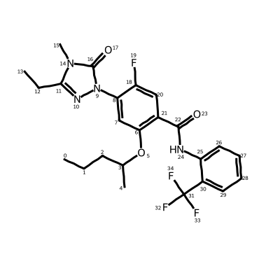 CCCC(C)Oc1cc(-n2nc(CC)n(C)c2=O)c(F)cc1C(=O)Nc1ccccc1C(F)(F)F